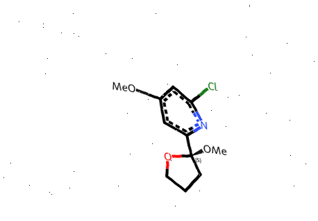 COc1cc(Cl)nc([C@]2(OC)CCCO2)c1